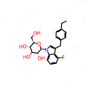 CCc1ccc(Cc2cn([C@@H]3O[C@H](CO)[C@@H](O)[C@H](O)[C@H]3O)c3cccc(F)c23)cc1